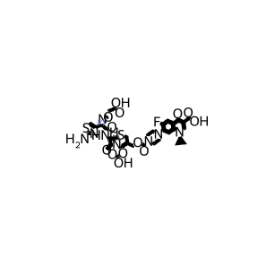 Nc1nc(/C(=N/OCC(=O)O)C(=O)N[C@@H]2C(=O)N3C(OC(=O)O)=C(COC(=O)N4CCN(c5cc6c(cc5F)c(=O)c(C(=O)O)cn6C5CC5)CC4)CS[C@H]23)cs1